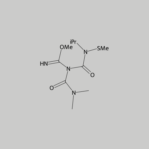 COC(=N)N(C(=O)N(C)C)C(=O)N(SC)C(C)C